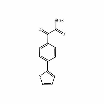 CCCCCCC(=O)C(=O)c1ccc(-c2cccs2)cc1